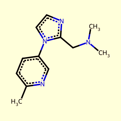 Cc1ccc(-n2ccnc2CN(C)C)cn1